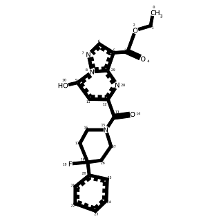 CCOC(=O)c1cnn2c(O)cc(C(=O)N3CCC(F)(c4ccccc4)CC3)nc12